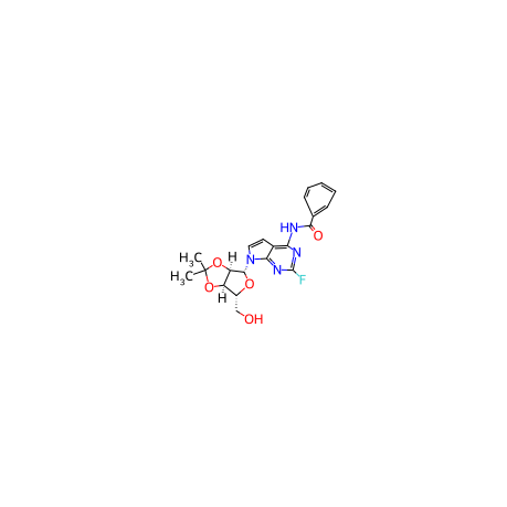 CC1(C)O[C@@H]2[C@H](O1)[C@@H](CO)O[C@H]2n1ccc2c(NC(=O)c3ccccc3)nc(F)nc21